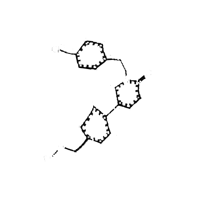 CCOCc1ccc(-c2ccc(=O)n(Cc3ccc(Cl)cc3)c2)cc1